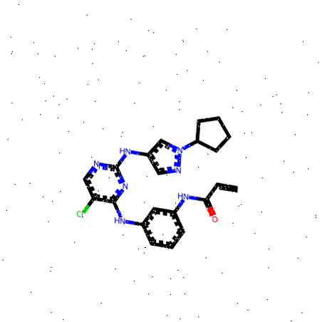 C=CC(=O)Nc1cccc(Nc2nc(Nc3cnn(C4CCCC4)c3)ncc2Cl)c1